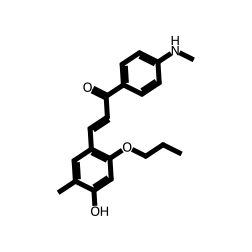 CCCOc1cc(O)c(C)cc1/C=C/C(=O)c1ccc(NC)cc1